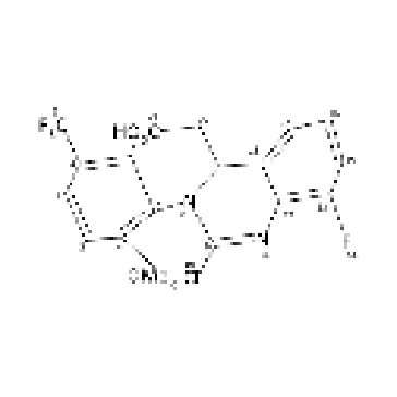 COc1ccc(C(F)(F)F)cc1N1C(Cl)=Nc2c(F)cccc2C1CC(=O)O